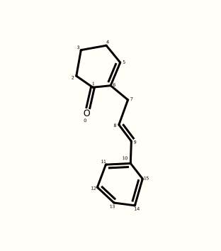 O=C1CCCC=C1CC=Cc1ccccc1